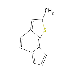 CC1C=c2ccc3c(c2S1)C=CC=3